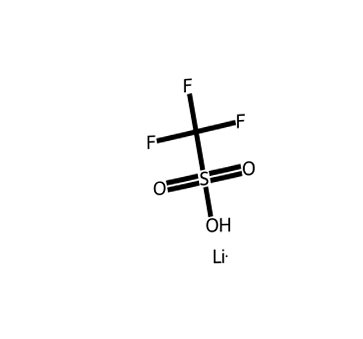 O=S(=O)(O)C(F)(F)F.[Li]